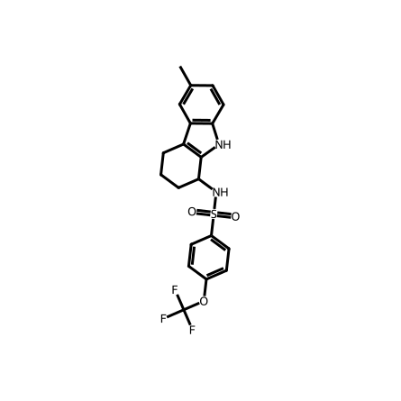 Cc1ccc2[nH]c3c(c2c1)CCCC3NS(=O)(=O)c1ccc(OC(F)(F)F)cc1